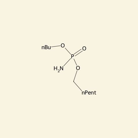 CCCCCCOP(N)(=O)OCCCC